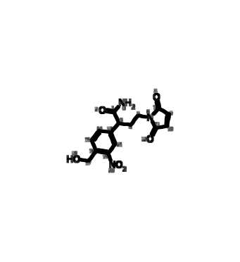 NC(=O)C(CCN1C(=O)C=CC1=O)c1ccc(CO)c([N+](=O)[O-])c1